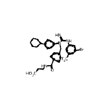 N=C(Nc1cc(Br)cc(C(F)(F)F)c1)N(Cc1ccc(C(=O)NCCC(=O)O)cc1)c1ccc(C2CCCCC2)cc1